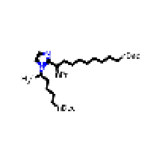 CCCCCCCCCCCCCCCCCCC(CCC)c1nccn1C(C)CCCCCCCCCCCCCC